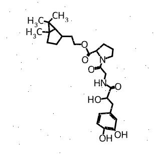 CC1(C)C2C(CCOC(=O)C3CCCN3C(=O)CNC(=O)C(O)Cc3ccc(O)c(O)c3)CCC21C